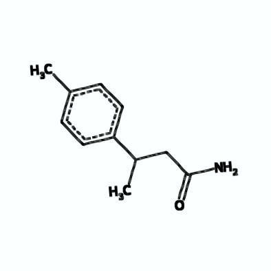 Cc1ccc(C(C)CC(N)=O)cc1